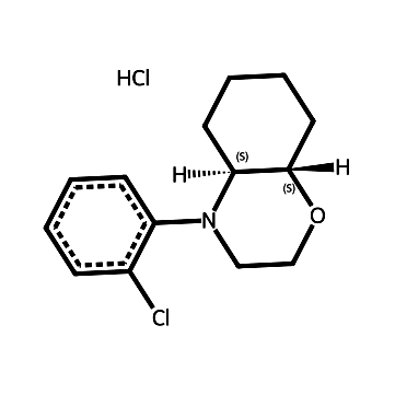 Cl.Clc1ccccc1N1CCO[C@H]2CCCC[C@@H]21